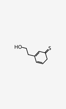 OCCC1=CC(=S)CC=C1